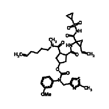 C=CCCCCN(C)C(=O)C1CC(OC(=O)N(Cc2csc(C)n2)c2cccc(OC)c2)CC1C(=O)NC1(C(=O)NS(=O)(=O)C2CC2)CC1C=C